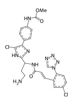 COC(=O)Nc1ccc(-c2nc(C(CCN)NC(=O)/C=C/c3cc(Cl)ccc3-n3cnnn3)[nH]c2Cl)cc1